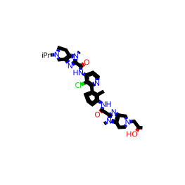 Cc1c(NC(=O)c2nc3c(n2C)CCN(CC(C)O)C3)cccc1-c1nccc(NC(=O)c2nc3c(n2C)CCN(C(C)C)C3)c1Cl